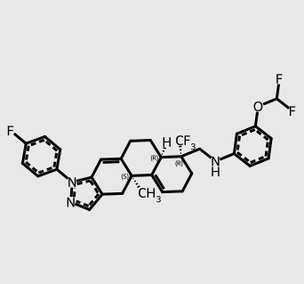 C[C@]12Cc3cnn(-c4ccc(F)cc4)c3C=C1CC[C@@H]1C2=CCC[C@@]1(CNc1cccc(OC(F)F)c1)C(F)(F)F